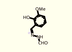 COc1cccc(/C=N\N[C]=O)c1O